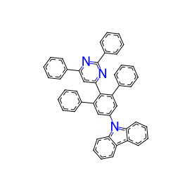 c1ccc(-c2cc(-c3c(-c4ccccc4)cc(-n4c5ccccc5c5ccccc54)cc3-c3ccccc3)nc(-c3ccccc3)n2)cc1